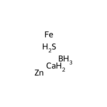 B.S.[CaH2].[Fe].[Zn]